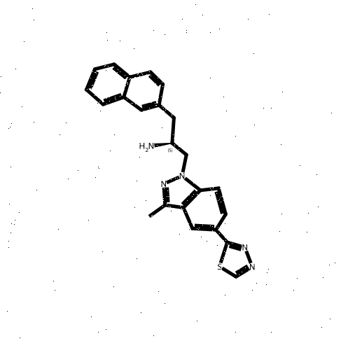 Cc1nn(C[C@@H](N)Cc2ccc3ccccc3c2)c2ccc(-c3nncs3)cc12